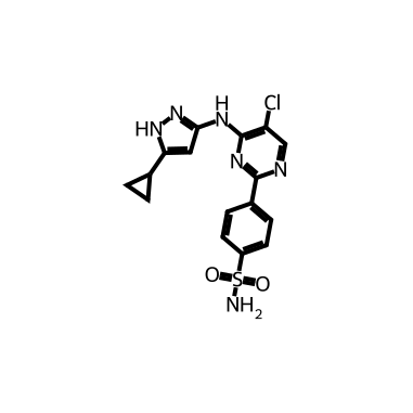 NS(=O)(=O)c1ccc(-c2ncc(Cl)c(Nc3cc(C4CC4)[nH]n3)n2)cc1